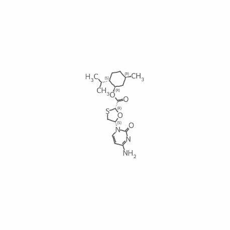 CC(C)[C@@H]1CC[C@@H](C)C[C@H]1OC(=O)[C@@H]1O[C@H](n2ccc(N)nc2=O)CS1